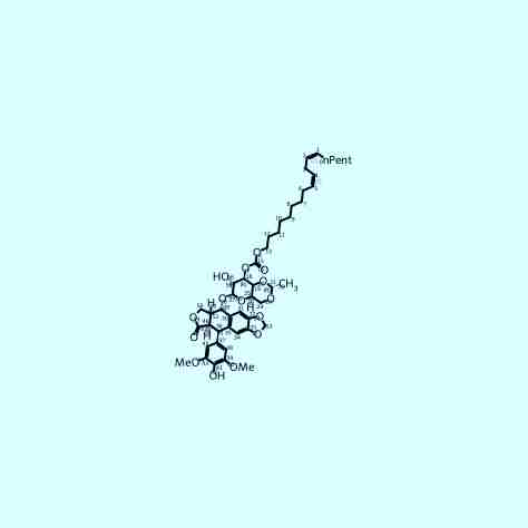 CCCCC/C=C\C/C=C\CCCCCCCCOC(=O)O[C@H]1C2O[C@H](C)OC[C@H]2O[C@@H](O[C@@H]2c3cc4c(cc3[C@@H](c3cc(OC)c(O)c(OC)c3)[C@H]3C(=O)OC[C@@H]32)OCO4)[C@@H]1O